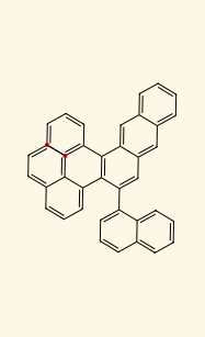 c1ccc(-c2c(-c3cccc4ccccc34)c(-c3cccc4ccccc34)cc3cc4ccccc4cc23)cc1